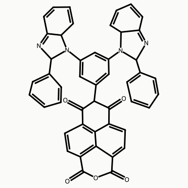 O=C1OC(=O)c2ccc3c4c(ccc1c24)C(=O)C(c1cc(N2C4C=CC=CC4=NC2c2ccccc2)cc(N2C4C=CC=CC4=NC2c2ccccc2)c1)C3=O